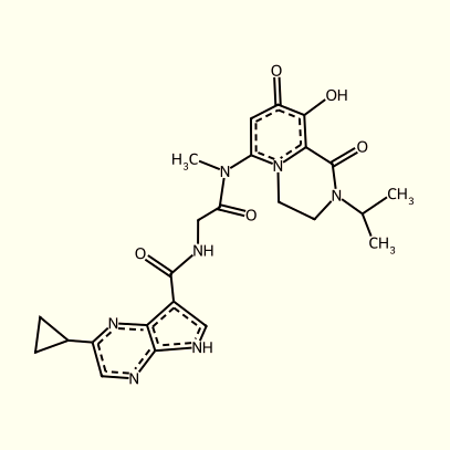 CC(C)N1CCn2c(N(C)C(=O)CNC(=O)c3c[nH]c4ncc(C5CC5)nc34)cc(=O)c(O)c2C1=O